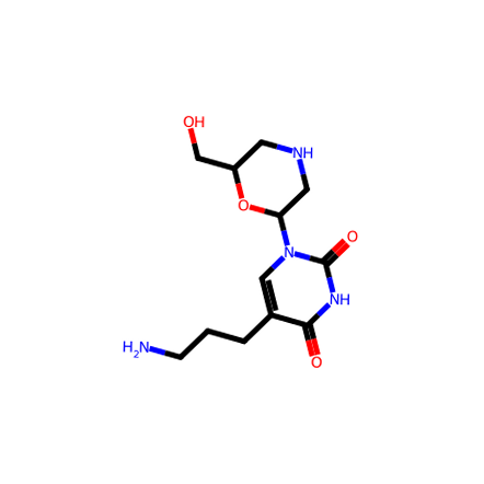 NCCCc1cn(C2CNCC(CO)O2)c(=O)[nH]c1=O